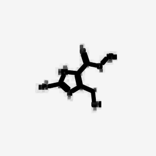 CCCc1nc(CO)c(C(=O)OC(C)(C)C)[nH]1